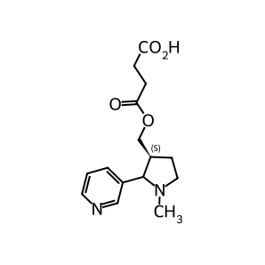 CN1CC[C@H](COC(=O)CCC(=O)O)C1c1cccnc1